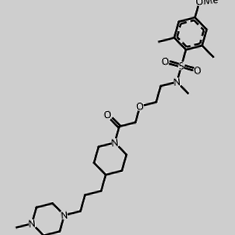 COc1cc(C)c(S(=O)(=O)N(C)CCOCC(=O)N2CCC(CCCN3CCN(C)CC3)CC2)c(C)c1